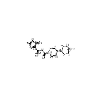 CN1CCN(C2CCN(C(=O)CC(=O)c3nccn3C)CC2)CC1